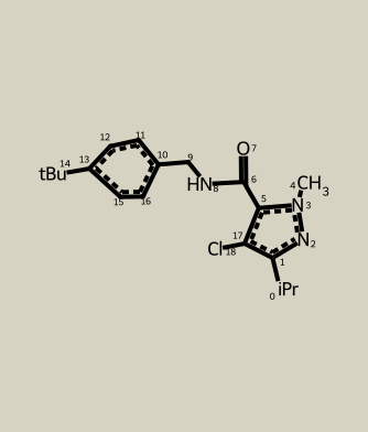 CC(C)c1nn(C)c(C(=O)NCc2ccc(C(C)(C)C)cc2)c1Cl